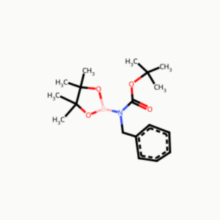 CC(C)(C)OC(=O)N(Cc1ccccc1)B1OC(C)(C)C(C)(C)O1